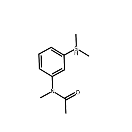 CC(=O)N(C)c1cccc([SiH](C)C)c1